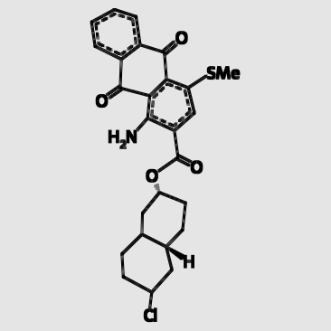 CSc1cc(C(=O)O[C@@H]2CC[C@@H]3CC(Cl)CCC3C2)c(N)c2c1C(=O)c1ccccc1C2=O